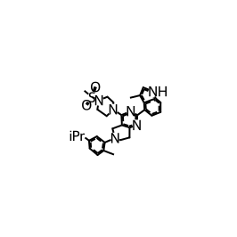 Cc1ccc(C(C)C)cc1N1CCc2nc(-c3cccc4[nH]cc(C)c34)nc(N3CCN(S(C)(=O)=O)CC3)c2C1